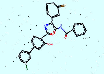 O=C(Nc1oc(-c2ccc(-c3cccc(F)c3)cc2O)nc1C1=CC(=S)CC=C1)c1ccccc1